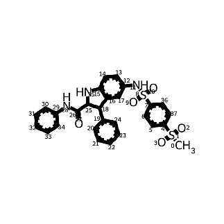 CS(=O)(=O)c1ccc(S(=O)(=O)Nc2ccc3c(c2)C(c2ccccc2)C(C(=O)Nc2ccccc2)N3)cc1